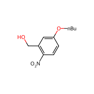 CCCCOc1ccc([N+](=O)[O-])c(CO)c1